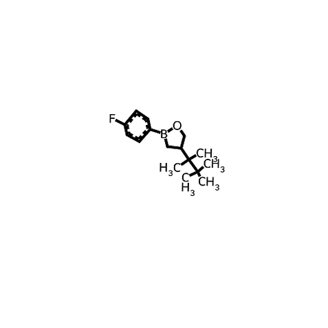 CC(C)(C)C(C)(C)C1COB(c2ccc(F)cc2)C1